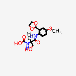 COc1ccc(NC(=O)C(C)(CO)NC(=O)O)c(C2OCCO2)c1